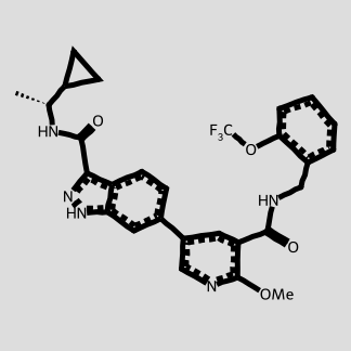 COc1ncc(-c2ccc3c(C(=O)N[C@H](C)C4CC4)n[nH]c3c2)cc1C(=O)NCc1ccccc1OC(F)(F)F